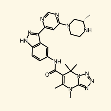 CC1=C(C(=O)Nc2ccc3[nH]nc(-c4cc(N5CCN[C@@H](C)C5)ncn4)c3c2)C(C)(C)n2nnnc2N1C